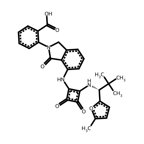 Cc1ccc([C@H](Nc2c(Nc3cccc4c3C(=O)N(c3ccccc3C(=O)O)C4)c(=O)c2=O)C(C)(C)C)o1